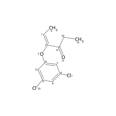 CC=C(Oc1cc(Cl)cc(Cl)c1)C(=O)CC